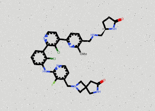 COc1nc(-c2ccnc(-c3cccc(Nc4nccc(CN5CC6(CNC(=O)C6)C5)c4F)c3Cl)c2Cl)ccc1CNC[C@H]1CCC(=O)N1